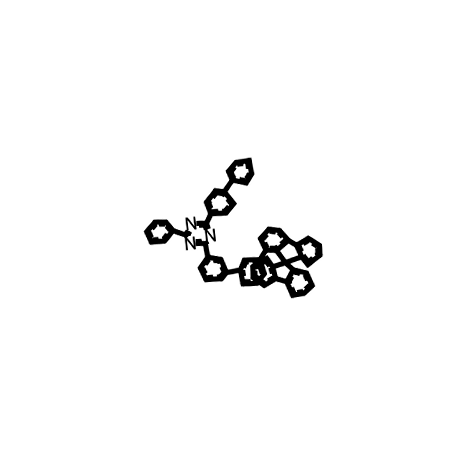 c1ccc(-c2ccc(-c3nc(-c4ccccc4)nc(-c4cccc(-c5cccc(-c6cccc7c6C6(c8ccccc8-c8ccccc86)c6ccccc6-7)c5)c4)n3)cc2)cc1